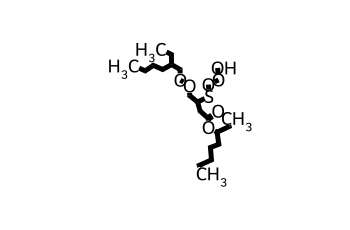 CCCCCC(CC)OC(=O)CC(COOCC(CC)CCCC)SOOO